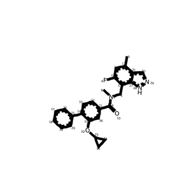 Cc1cc(F)c(CN(C)C(=O)c2ccc(-c3ccccc3)c(OC3CC3)c2)c2[nH]ncc12